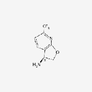 N[C@@H]1COc2nc(C(F)(F)F)ccc21